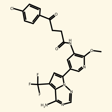 COc1ncc(-c2cc(C(F)(F)F)c3c(N)ncnn23)cc1NC(=O)CCC(=O)c1ccc(Cl)cc1